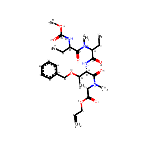 C=CCOC(=O)CN(C)C(=O)[C@@H](NC(=O)C(CC(C)C)N(C)C(=O)C(CC(C)C)NC(=O)OC(C)(C)C)C(C)OCc1ccccc1